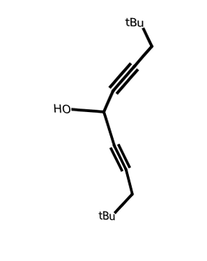 CC(C)(C)CC#CC(O)C#CCC(C)(C)C